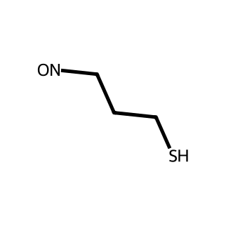 O=NCCCS